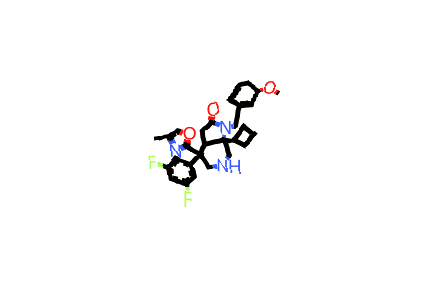 COC1C=C(CN2C(=O)CC3C(c4cc(F)cc(F)c4)(c4nc(C)co4)CNCC32C2CCC2)C=CC1